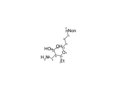 CCCCCCCCCCCCCOC(CC)C(CN)C(O)O